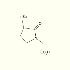 CCCCC1CCN(CC(=O)O)C1=O